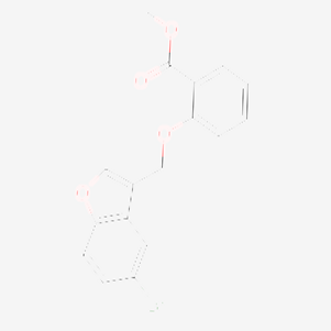 COC(=O)c1ccccc1OCc1coc2ccc(Br)cc12